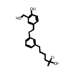 CCC(C)(O)CCCCc1cccc(CCc2ccc(O)c(CO)c2)c1